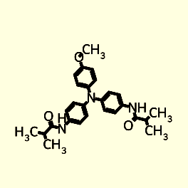 COc1ccc(N(c2ccc(NC(=O)C(C)C)cc2)c2ccc(NC(=O)C(C)C)cc2)cc1